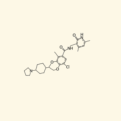 Cc1cc(C)c(CNC(=O)c2cc(Cl)c3c(c2C)OC(C2CCC(N4CCCC4)CC2)CO3)c(=O)[nH]1